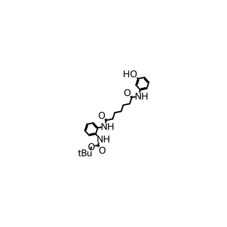 CC(C)(C)OC(=O)Nc1ccccc1NC(=O)CCCCCC(=O)Nc1cccc(O)c1